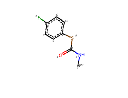 CCCNC(=O)Sc1ccc(F)cc1